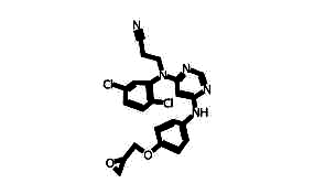 N#CCCN(c1cc(Nc2ccc(OCC3CO3)cc2)ncn1)c1cc(Cl)ccc1Cl